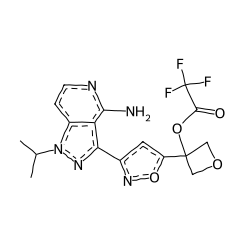 CC(C)n1nc(-c2cc(C3(OC(=O)C(F)(F)F)COC3)on2)c2c(N)nccc21